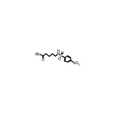 CC(C)(C)C(=O)CCCCNS(=O)(=O)c1ccc([N+](=O)[O-])cc1